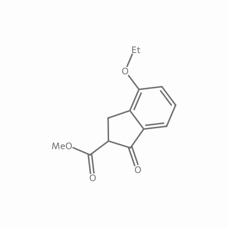 CCOc1cccc2c1CC(C(=O)OC)C2=O